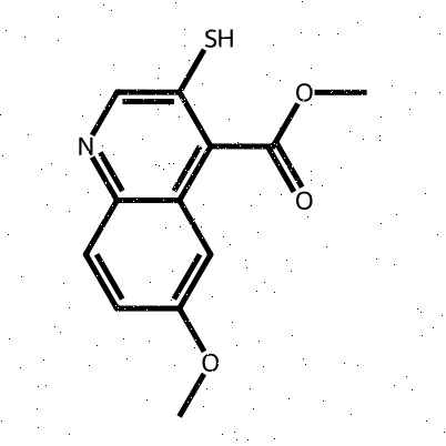 COC(=O)c1c(S)cnc2ccc(OC)cc12